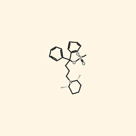 C[C@@H]1CCC[C@H](C)N1CCCC(OS(C)(=O)=O)(c1ccccc1)c1ccccc1